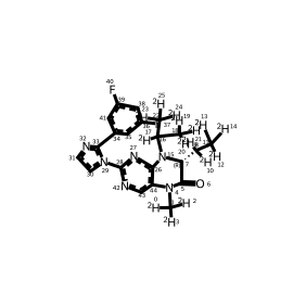 [2H]C([2H])([2H])N1C(=O)[C@@H](C([2H])([2H])C([2H])([2H])[2H])N(C([2H])(C([2H])([2H])[2H])C([2H])([2H])[2H])c2nc(-n3ccnc3-c3cc(F)cc(F)c3)ncc21